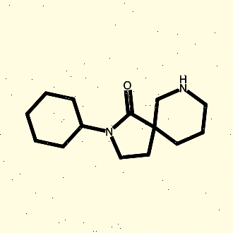 O=C1N(C2CCCCC2)CCC12CCCNC2